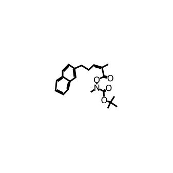 CC(=CCCc1ccc2ccccc2c1)C(=O)ON(C)C(=O)OC(C)(C)C